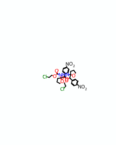 O=C(NC1(C(OC(c2ccc([N+](=O)[O-])cc2)C2(NC(=O)OCCCl)CCCO2)c2ccc([N+](=O)[O-])cc2)CCCO1)OCCCl